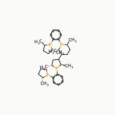 C[C@@H]1CCCP1c1ccccc1P1[C@H](C)CC(C2CC[C@H](C)P(c3ccccc3P3[C@H](C)CC[C@H]3C)[C@H]2C)[C@H]1C